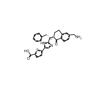 NCc1ccc2c(c1)CCN([C@@H](Cc1ccccc1)c1ncc(-c3ccc(C(=O)O)s3)[nH]1)C2=O